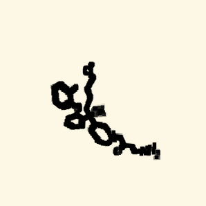 COCCCCC(O)(c1ccccc1Oc1ccccc1C)C1CCCN(CC(=O)CCN)C1